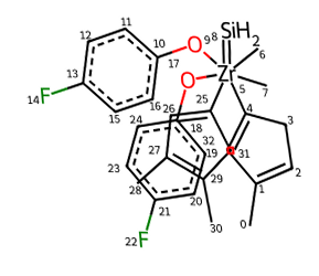 CC1=CC[C]([Zr]([CH3])([CH3])(=[SiH2])([O]c2ccc(F)cc2)([O]c2ccc(F)cc2)[C]2=CC(C)=C(C)C2)=C1